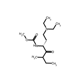 CCC(C)C(=O)[C@@H](CCN(CC)CC)NC(=O)OC